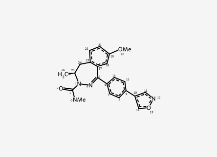 CNC(=O)N1N=C(c2ccc(-c3cnoc3)cc2)c2cc(OC)ccc2C[C@@H]1C